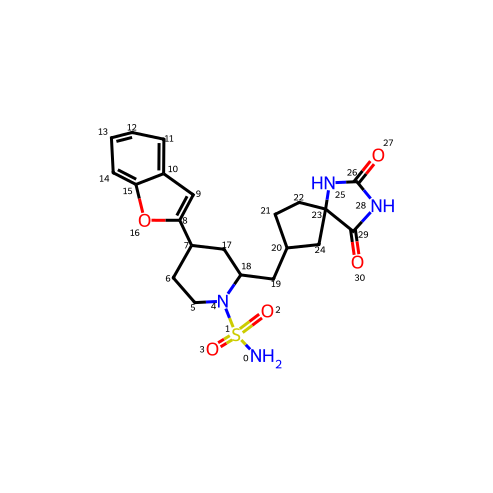 NS(=O)(=O)N1CCC(c2cc3ccccc3o2)CC1CC1CCC2(C1)NC(=O)NC2=O